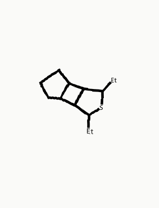 CCC1SC(CC)C2C3CCCC3C12